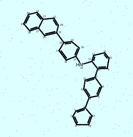 c1ccc(-c2ccc(-c3ccccc3Nc3ccc(-c4ccc5ccccc5c4)cc3)cc2)cc1